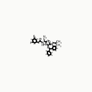 CC(C)CN1C(=O)C(NC(=O)[C@H](C)NC(=O)Cc2cc(F)cc(F)c2)N=C(c2ccccc2)c2ccccc21